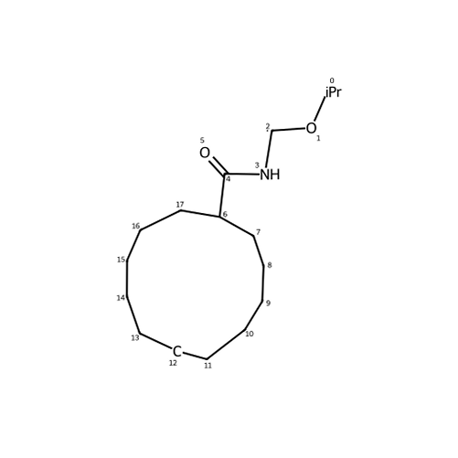 CC(C)O[CH]NC(=O)C1CCCCCCCCCCC1